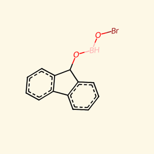 BrOBOC1c2ccccc2-c2ccccc21